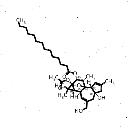 CCCCCCCCCCCCCC(=O)O[C@@H]1[C@H](C)[C@]2(O)[C@@H]3C=C(C)C[C@@]3(O)CC(CO)=C[C@H]2[C@@H]2C(C)(C)[C@]12OC(C)=O